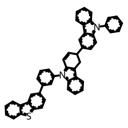 C1=CC(c2ccc3c(c2)c2ccccc2n3-c2ccccc2)Cc2c1n(-c1cccc(-c3ccc4sc5ccccc5c4c3)c1)c1ccccc21